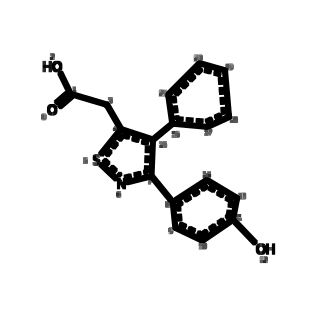 O=C(O)Cc1snc(-c2ccc(O)cc2)c1-c1ccccc1